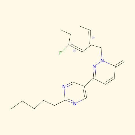 C=C1C=CC(c2cnc(CCCCC)nc2)=NN1CC(/C=C(/F)CC)=C/C